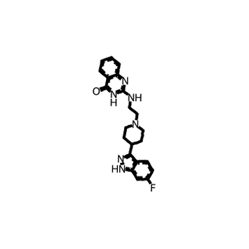 O=c1[nH]c(NCCN2CCC(c3n[nH]c4cc(F)ccc34)CC2)nc2ccccc12